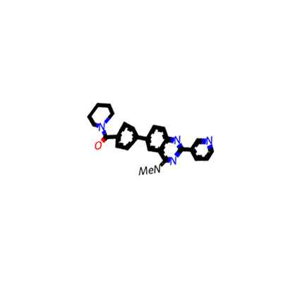 CNc1nc(-c2cccnc2)nc2ccc(-c3ccc(C(=O)N4CCCCC4)cc3)cc12